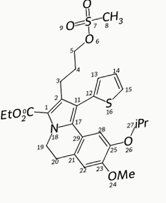 CCOC(=O)c1c(CCCOS(C)(=O)=O)c(-c2cccs2)c2n1CCc1cc(OC)c(OC(C)C)cc1-2